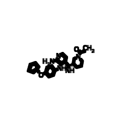 C=CC(=O)N1CCC[C@@H](C(=N)c2ccnc(N)c2Nc2ccc(Oc3ccccc3)cc2)C1